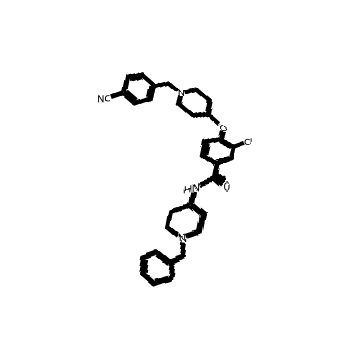 N#Cc1ccc(CN2CCC(Oc3ccc(C(=O)NC4CCN(Cc5ccccc5)CC4)cc3Cl)CC2)cc1